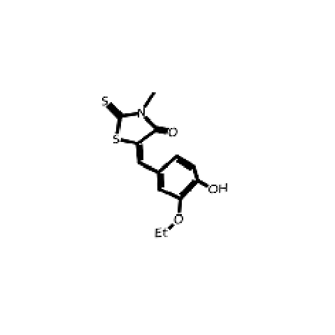 CCOc1cc(C=C2SC(=S)N(C)C2=O)ccc1O